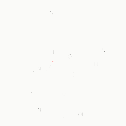 Cc1c(-c2c(-c3ccc(F)cc3)sc3nccc(OC(Cc4ccccc4OCc4ccnc(-c5ccc(OCCN(C)C)cc5)n4)C(=O)O)c23)ccc(OCCN2CCN(C)CC2)c1Cl